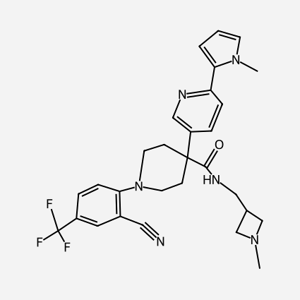 CN1CC(CNC(=O)C2(c3ccc(-c4cccn4C)nc3)CCN(c3ccc(C(F)(F)F)cc3C#N)CC2)C1